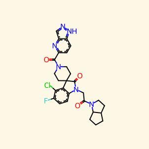 O=C(c1ccc2[nH]ncc2n1)N1CCC2(CC1)C(=O)N(CC(=O)N1CCC3CCCC31)c1ccc(F)c(Cl)c12